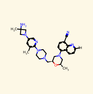 [2H]c1ccc2c(N3C[C@H](CN4CCN(c5ncc(N6CC(C)(N)C6)cc5C)CC4)O[C@H](C)C3)ccc(C#N)c2n1